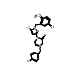 Cc1cc(N2CCN(Cc3ccc(Br)cc3)CC2=O)nn1Cc1cc(Cl)ccc1OCC(C)C